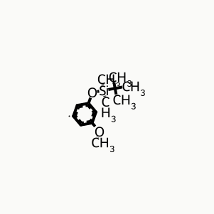 COc1c[c]cc(O[Si](C)(C)C(C)(C)C)c1